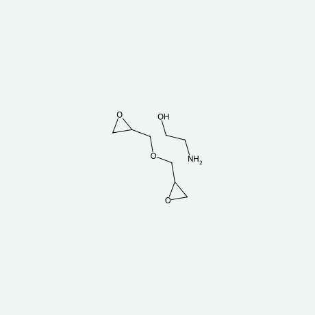 C(OCC1CO1)C1CO1.NCCO